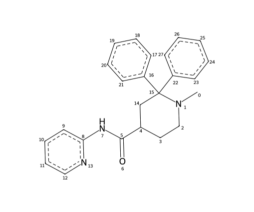 CN1CCC(C(=O)Nc2ccccn2)CC1(c1ccccc1)c1ccccc1